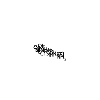 Cc1nc(N2CCC3(CC2)Cc2ccccc2C3N)n2ccnc2c1Sc1ccnc(NC(=O)c2c(O)c3ccccc3n(C)c2=O)c1Cl